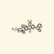 CN(C)CCN(C)c1nc(OCC(F)(F)F)c(Nc2nccc(N3CC4(CCC4)c4ncccc43)n2)cc1[N+](=O)[O-]